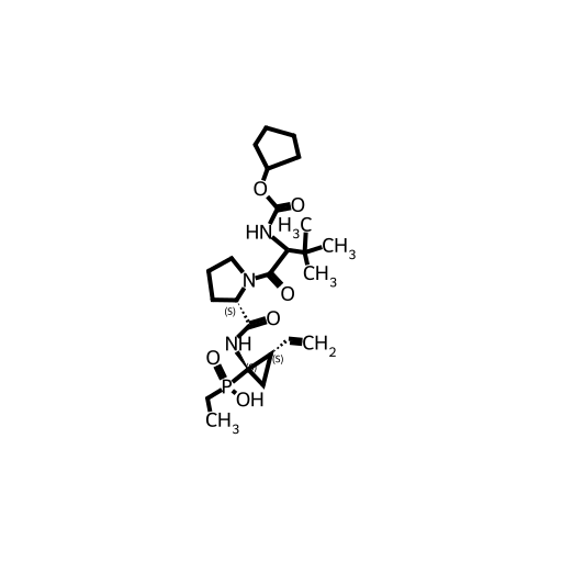 C=C[C@@H]1C[C@]1(NC(=O)[C@@H]1CCCN1C(=O)C(NC(=O)OC1CCCC1)C(C)(C)C)P(=O)(O)CC